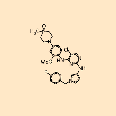 COc1cc(N2CCP(C)(=O)CC2)ccc1Nc1nc(Nc2ccn(Cc3ccc(F)cc3)c2)ncc1Cl